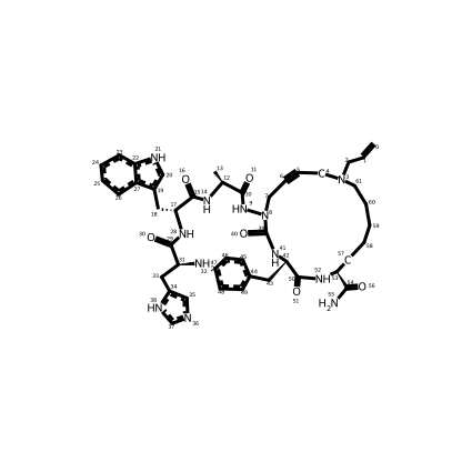 C=CCN1CC#CCN(NC(=O)[C@H](C)NC(=O)[C@@H](Cc2c[nH]c3ccccc23)NC(=O)[C@@H](N)Cc2cnc[nH]2)C(=O)N[C@H](Cc2ccccc2)C(=O)N[C@H](C(N)=O)CCCCC1